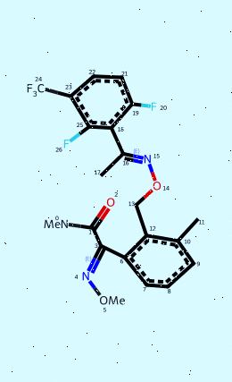 CNC(=O)/C(=N/OC)c1cccc(C)c1CO/N=C(\C)c1c(F)ccc(C(F)(F)F)c1F